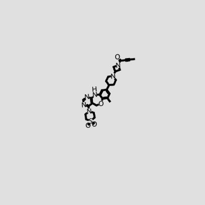 CC#CC(=O)N1CC(N2CCC(c3cc(C)c4c(c3)Nc3ncnc(N5CCS(=O)(=O)CC5)c3CO4)CC2)C1